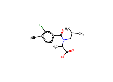 [C]#Cc1ccc(C(=O)N(CC(C)C)C(C)C(=O)O)cc1F